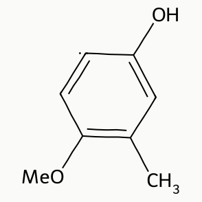 COc1c[c]c(O)cc1C